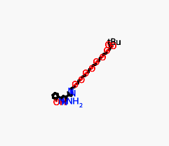 CC(C)(C)OC(=O)COCCOCCOCCOCCOCCOCCOCCn1cc(-c2cc(-c3ccccc3O)nnc2N)cn1